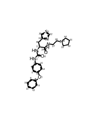 O=C(Nc1ccc(Oc2ccccc2)cc1)NC(Cc1cscn1)C(=O)NCCN1CCCC1